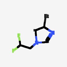 CCC1[C]N(CC(F)F)[C]=N1